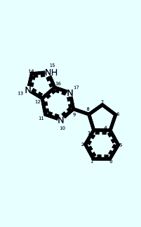 c1ccc2c(c1)CCC2c1ncc2nc[nH]c2n1